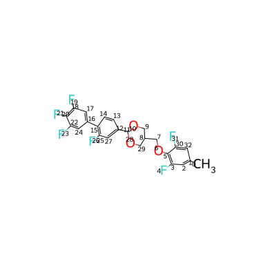 Cc1cc(F)c(OCC2COC(c3ccc(-c4cc(F)c(F)c(F)c4)c(F)c3)OC2)c(F)c1